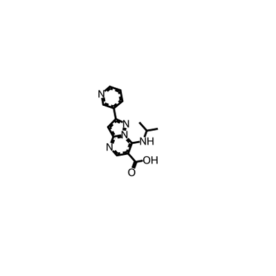 CC(C)Nc1c(C(=O)O)cnc2cc(-c3cccnc3)nn12